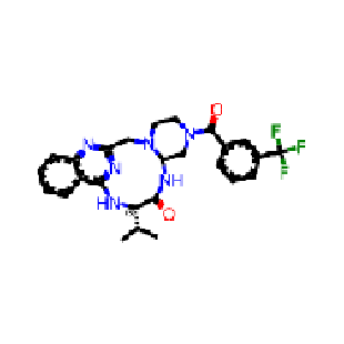 CC(C)[C@@H]1Nc2nc(nc3ccccc23)CN2CCN(C(=O)c3cccc(C(F)(F)F)c3)CC2NC1=O